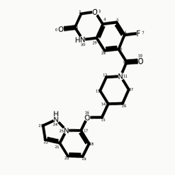 O=C1COc2cc(F)c(C(=O)N3CCC(COC4=CC=CC5=CCNN54)CC3)cc2N1